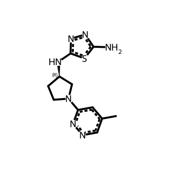 Cc1cnnc(N2CC[C@@H](Nc3nnc(N)s3)C2)c1